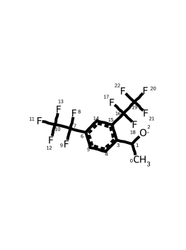 CC([O])c1ccc(C(F)(F)C(F)(F)F)cc1C(F)(F)C(F)(F)F